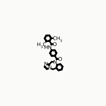 Cc1cccc(C)c1C(=O)Nc1ccc(C(=O)N2Cc3nccn3Cc3ccccc32)cc1